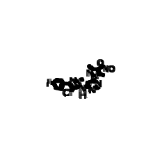 Cc1nn(-c2cc(Nc3c(Cl)c(-c4ccc(F)cc4)nn3C)ncn2)c(C)c1C(=O)N=O